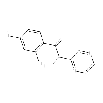 CC(C(=O)c1ccc(Cl)cc1Cl)c1cnccn1